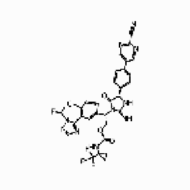 N#Cc1ncc(-c2ccc([C@H]3NC(=N)N([C@H](COC(=O)NC4(C(F)(F)F)CC4)c4ccc(Cl)c(-c5ncnn5C(F)F)c4)C3=O)cc2)cn1